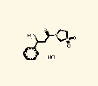 Cl.NC(CC(=O)N1CCS(=O)(=O)C1)c1ccccc1